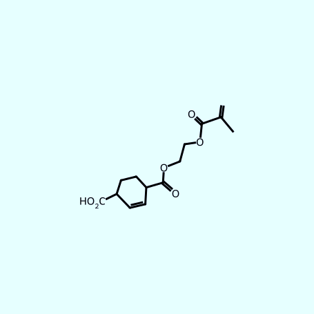 C=C(C)C(=O)OCCOC(=O)C1C=CC(C(=O)O)CC1